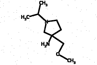 COCC1(N)CCN(C(C)C)C1